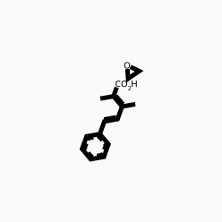 C1CO1.CC(C=Cc1ccccc1)=C(C)C(=O)O